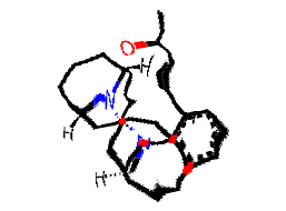 CC(=O)/C=C/c1ccccc1N(C)[C@H]1C[C@H]2CCC[C@@H](C1)N2[C@H]1C[C@@H]2CCC[C@@H](C2)C1